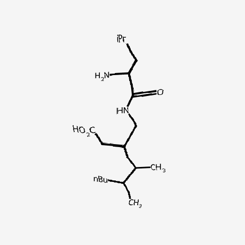 CCCCC(C)C(C)C(CNC(=O)C(N)CC(C)C)CC(=O)O